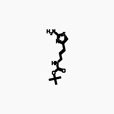 CC(C)(C)OC(=O)NCC=Cc1csc(N)n1